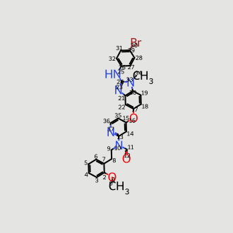 COc1ccccc1CCN(C=O)c1cc(Oc2ccc3c(c2)nc(Nc2ccc(Br)cc2)n3C)ccn1